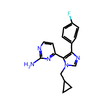 Nc1nccc(-c2c(-c3ccc(F)cc3)ncn2CC2CC2)n1